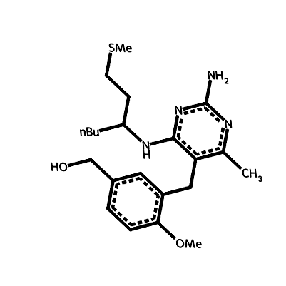 CCCCC(CCSC)Nc1nc(N)nc(C)c1Cc1cc(CO)ccc1OC